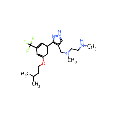 CNCCN(C)Cc1c[nH]nc1C1C=C(C(F)(F)F)C=C(OCCC(C)C)C1